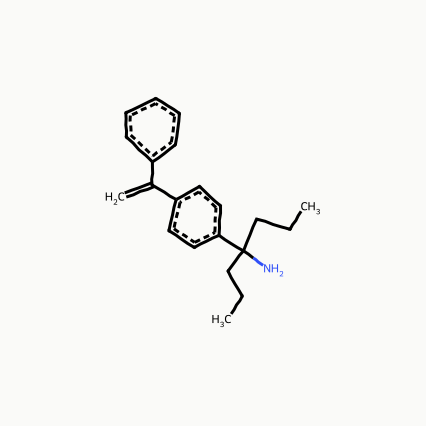 C=C(c1ccccc1)c1ccc(C(N)(CCC)CCC)cc1